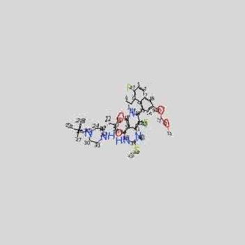 CCc1c(F)ccc2cc(OCOC)cc(-c3nc(OC(C)C[C@H]4CN(C(C)(C)C)CCN4)c4c(=O)[nH]c(SC)nc4c3F)c12